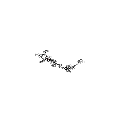 Cc1cc(OCCCC(=O)NCCNC(=O)[C@H](CS(=O)(=O)O)NC(=S)Nc2ccc(CC3CN(CC(=O)O)CCN(CC(=O)O)CCN(CC(=O)O)CCN3CC(=O)O)cc2)cc(C)c1S(=O)(=O)N[C@@H](CNC(=O)CCCCc1ccc2c(n1)NCCC2)C(=O)O